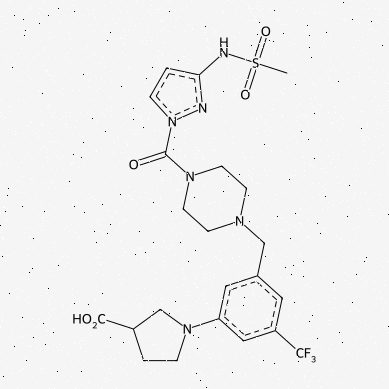 CS(=O)(=O)Nc1ccn(C(=O)N2CCN(Cc3cc(N4CCC(C(=O)O)C4)cc(C(F)(F)F)c3)CC2)n1